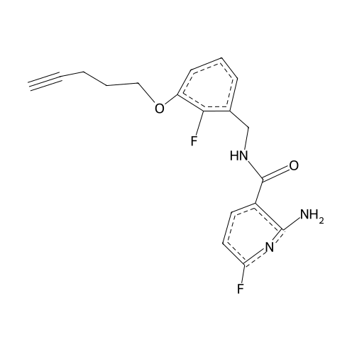 C#CCCCOc1cccc(CNC(=O)c2ccc(F)nc2N)c1F